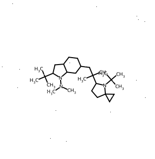 CN(C)N1C2CC(CC(C)(C)C3CCC4(CC4)N3C(C)(C)C)CCC2CC1C(C)(C)C